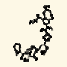 CCCO[C@H](C[C@H](C(C)C)N(CCC)C(=O)[C@@H](NC(=O)[C@H]1CCCCN1C)[C@@H](C)CC)c1nc(C(=O)NC2Cc3ccc(O)cc3[C@H](C(N)=O)C2)cs1